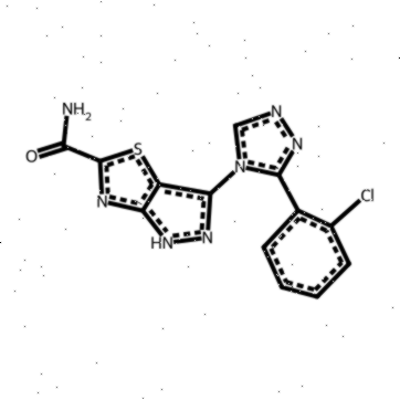 NC(=O)c1nc2[nH]nc(-n3cnnc3-c3ccccc3Cl)c2s1